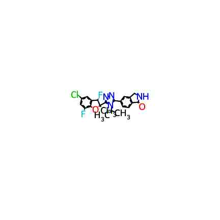 CC(C)n1c(-c2ccc3c(c2)CNC3=O)nnc1C1(C)Oc2c(F)cc(Cl)cc2C1F